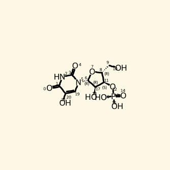 O=c1[nH]c(=O)n([C@@H]2O[C@H](CO)[C@@H](OP(=O)(O)O)[C@H]2O)cc1O